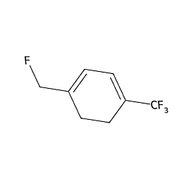 FCC1=CC=C(C(F)(F)F)CC1